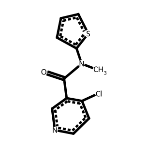 CN(C(=O)c1cnccc1Cl)c1cccs1